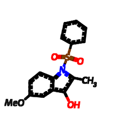 COc1ccc2c(c1)c(O)c(C)n2S(=O)(=O)c1ccccc1